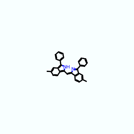 Cc1ccc2c(c1)C(c1ccccc1)=N/C2=C\c1[nH]c(-c2ccccc2)c2cc(C)ccc12